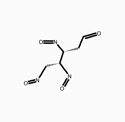 O=CC[C@@H](N=O)[C@@H](CN=O)N=O